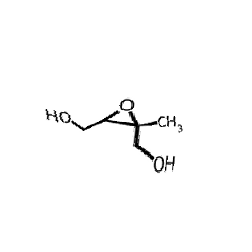 C[C@]1(CO)OC1CO